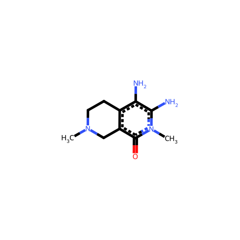 CN1CCc2c(N)c(N)n(C)c(=O)c2C1